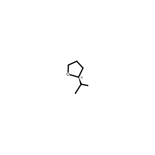 CC(C)[C@@H]1CCCO1